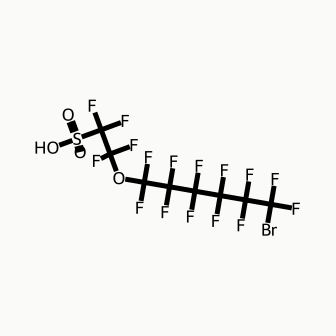 O=S(=O)(O)C(F)(F)C(F)(F)OC(F)(F)C(F)(F)C(F)(F)C(F)(F)C(F)(F)C(F)(F)Br